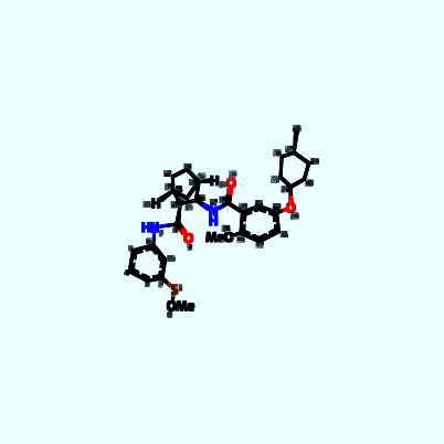 COSc1cccc(NC(=O)[C@H]2[C@@H]3CC[C@@H](C3)[C@H]2NC(=O)c2cc(O[C@H]3CC[C@@H](C)CC3)ccc2OC)c1